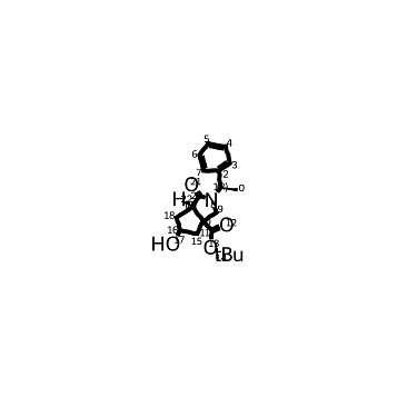 C[C@H](c1ccccc1)N1CC2(C(=O)OC(C)(C)C)CC(O)C[C@@H]2C1=O